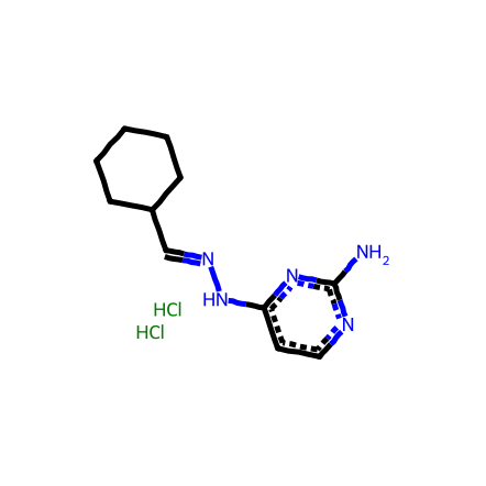 Cl.Cl.Nc1nccc(NN=CC2CCCCC2)n1